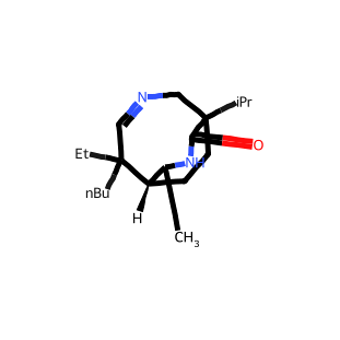 CCCCC1(CC)/C=N\CC2(C(C)C)CC[C@H]1C(C)NC2=O